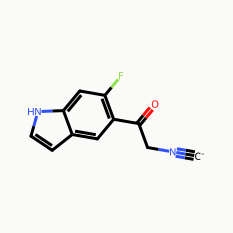 [C-]#[N+]CC(=O)c1cc2cc[nH]c2cc1F